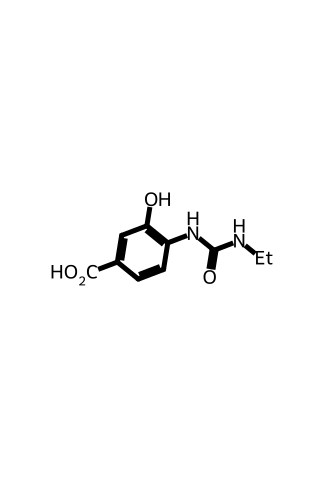 CCNC(=O)Nc1ccc(C(=O)O)cc1O